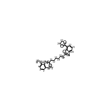 CC(C)c1cccc(C(C)C)c1NC(=O)CCCCCSc1nc2cccc(C3OCCO3)c2o1